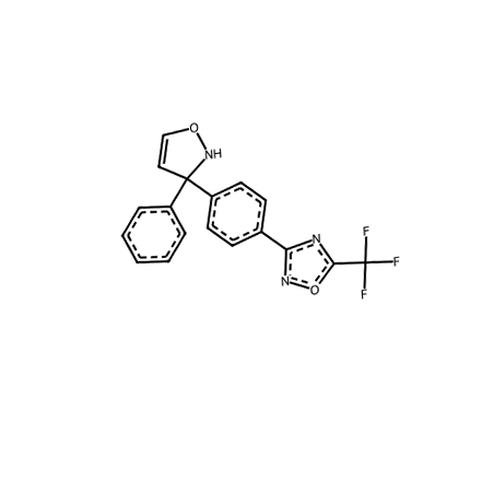 FC(F)(F)c1nc(-c2ccc(C3(c4ccccc4)C=CON3)cc2)no1